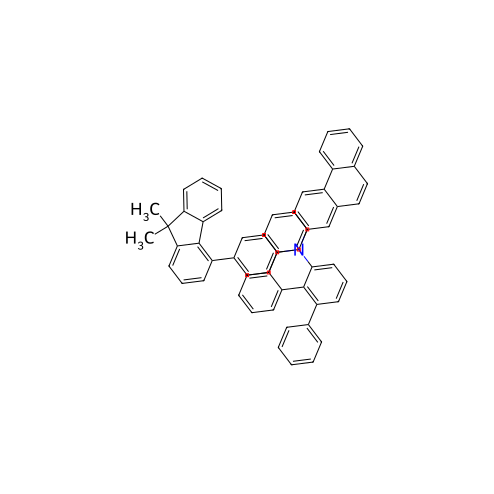 CC1(C)c2ccccc2-c2c(-c3ccc(N(c4ccc5c(ccc6ccccc65)c4)c4cccc(-c5ccccc5)c4-c4ccccc4-c4ccccc4)cc3)cccc21